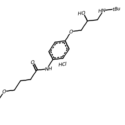 CC(C)(C)NCC(O)COc1ccc(NC(=O)CCCO[N+](=O)[O-])cc1.Cl